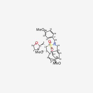 C=CC[C@H](OC)[C@H](C[C@H]1CCCO1)S(=O)(=O)N(Cc1ccc(OC)cc1)Cc1ccc(OC)cc1